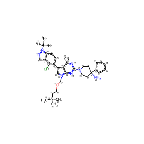 [2H]C([2H])([2H])n1ncc2c(Cl)c(-c3cn(COCC[Si](C)(C)C)c4nc(N5CCC(N)(c6ccccc6)CC5)nc(C#N)c34)ccc21